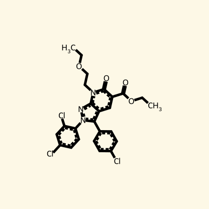 CCOCCn1c(=O)c(C(=O)OCC)cc2c(-c3ccc(Cl)cc3)n(-c3ccc(Cl)cc3Cl)nc21